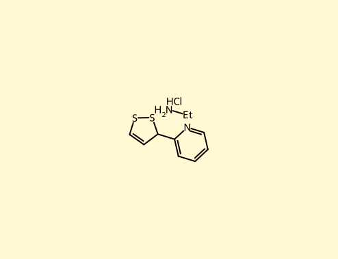 C1=CC(c2ccccn2)SS1.CCN.Cl